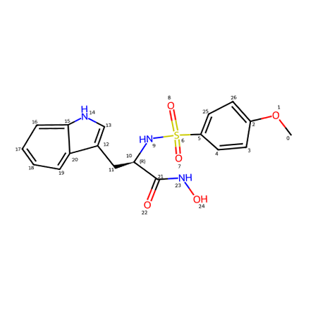 COc1ccc(S(=O)(=O)N[C@H](Cc2c[nH]c3ccccc23)C(=O)NO)cc1